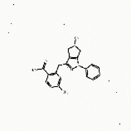 Cc1ccc(C(N)=O)c(Cc2nn(-c3ccccc3)c3c2CN(C#N)C3)c1